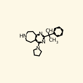 CC(C)(c1ccccc1)c1nc2c(c(N3CCCC3)n1)CCNCC2